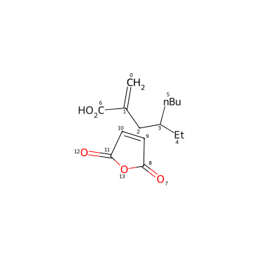 C=C(CC(CC)CCCC)C(=O)O.O=C1C=CC(=O)O1